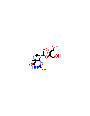 CC(OC(CO)[C@H](O)CO)N1C=NC2(C)C(=O)NC(S)=NC12